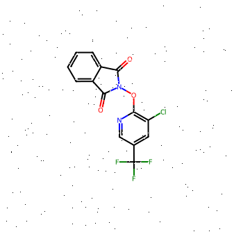 O=C1c2ccccc2C(=O)N1Oc1ncc(C(F)(F)F)cc1Cl